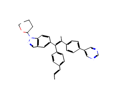 CC/C(=C(/c1ccc(/C=C/C(=O)O)cc1)c1ccc2c(cnn2C2CCCCO2)c1)c1ccc(-c2cncnc2)cc1